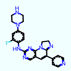 Fc1cc(N2CCNCC2)ccc1Nc1ncc2c(n1)N1CCN=C1C(c1ccncc1)=C2